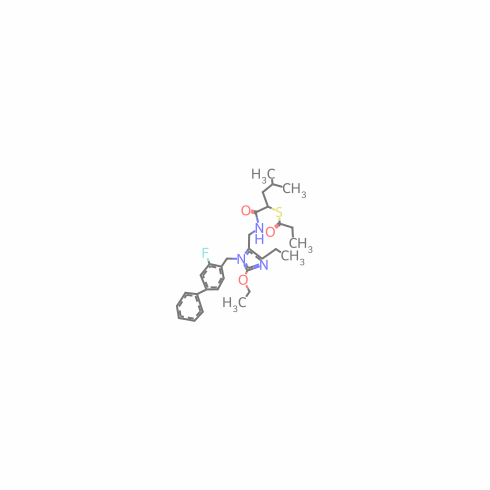 CCOc1nc(CC)c(CNC(=O)C(CC(C)C)SC(=O)CC)n1Cc1ccc(-c2ccccc2)cc1F